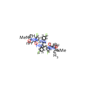 CCCC(NC(=O)C(C)NC)C(=O)N1CC(F)CC1Cn1c(-c2[nH]c3cc(F)ccc3c2CC2CC(F)CN2C(=O)C(NC(=O)C(C)NC)C(C)(C)C)nc2cc(F)ccc21